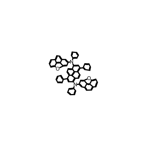 c1ccc(-c2cc(N(c3ccccc3)c3cc4ccc5cccc6oc(c3)c4c56)c3ccc4c(-c5ccccc5)cc(N(c5ccccc5)c5cc6ccc7cccc8oc(c5)c6c78)c5ccc2c3c45)cc1